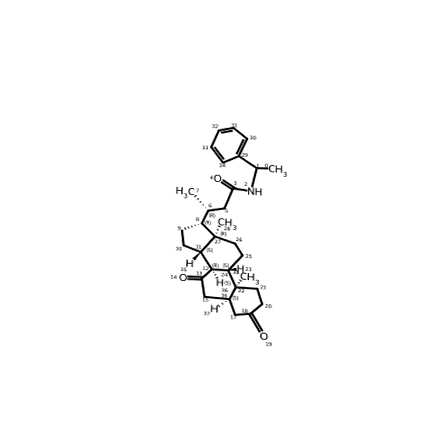 CC(NC(=O)C[C@@H](C)[C@H]1CC[C@H]2[C@@H]3C(=O)C[C@@H]4CC(=O)CC[C@]4(C)[C@H]3CC[C@]12C)c1ccccc1